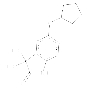 CC1(C)C(=O)Nc2nnc(OC3CCCC3)cc21